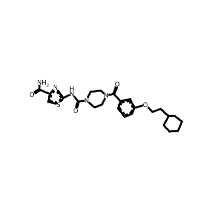 NC(=O)c1csc(NC(=O)N2CCN(C(=O)c3cccc(OCCC4CCCCC4)c3)CC2)n1